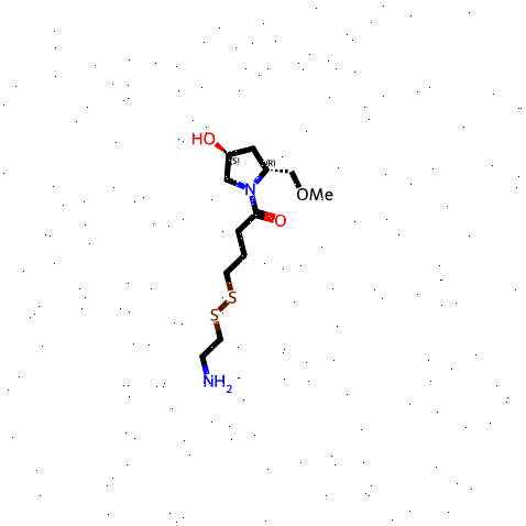 COC[C@H]1C[C@H](O)CN1C(=O)CCCSSCCN